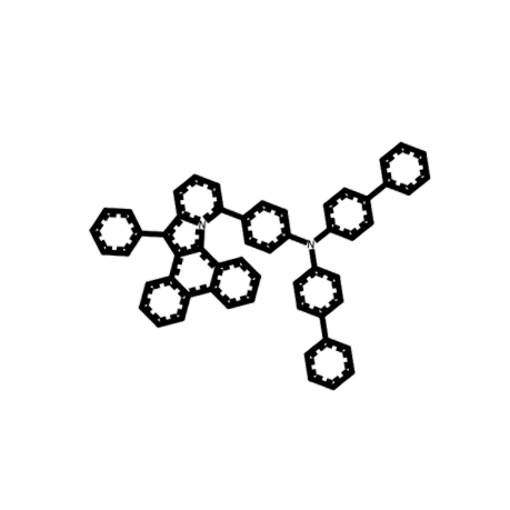 c1ccc(-c2ccc(N(c3ccc(-c4ccccc4)cc3)c3ccc(-c4cccc5c(-c6ccccc6)c6c7ccccc7c7ccccc7c6n45)cc3)cc2)cc1